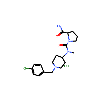 CN(C(=O)N1CCC[C@@H]1C(N)=O)C1CCN(Cc2ccc(Cl)cc2)CC1.Cl